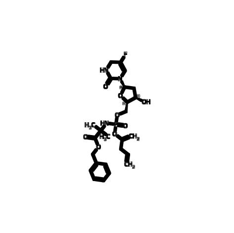 C=CCC(=C)OP(=O)(NC(C)(C)C(=O)OCc1ccccc1)OC[C@H]1O[C@@H](N2C=C(F)CNC2=O)C[C@H]1O